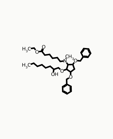 CCCCCCC(O)COC1C(OCc2ccccc2)CC(OCc2ccccc2)C1N(C)CCCCCC(=O)OCC